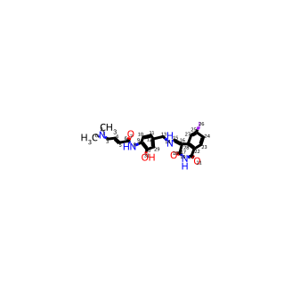 CN(C)CC=CC(=O)Nc1ccc(CNC=C2C(=O)NC(=O)c3ccc(I)cc32)cc1O